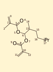 C=C(C)C(=O)OC(OC(=O)C(=C)C)C(C)CCC(C)C